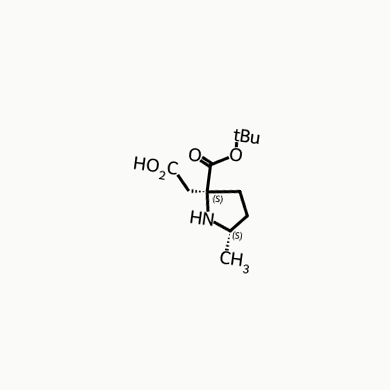 C[C@H]1CC[C@](CC(=O)O)(C(=O)OC(C)(C)C)N1